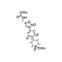 COC(=O)NC[C@H]1CN(c2cc(F)c(C3CCP(=O)(OC)CC3)c(F)c2)C(=O)O1